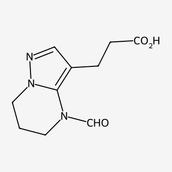 O=CN1CCCn2ncc(CCC(=O)O)c21